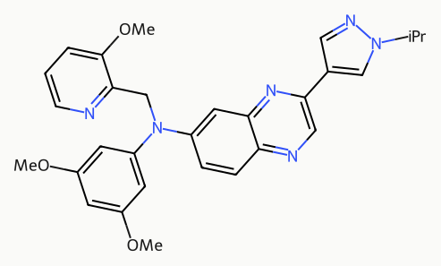 COc1cc(OC)cc(N(Cc2ncccc2OC)c2ccc3ncc(-c4cnn(C(C)C)c4)nc3c2)c1